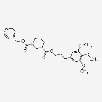 COc1cc(CCCOC(=O)C2CCCN(C(=O)OCc3ccccc3)C2)cc(OC)c1OC